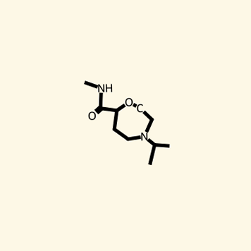 CNC(=O)C1CCN(C(C)C)CCO1